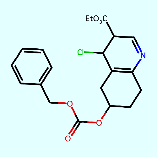 CCOC(=O)C1C=NC2=C(CC(OC(=O)OCc3ccccc3)CC2)C1Cl